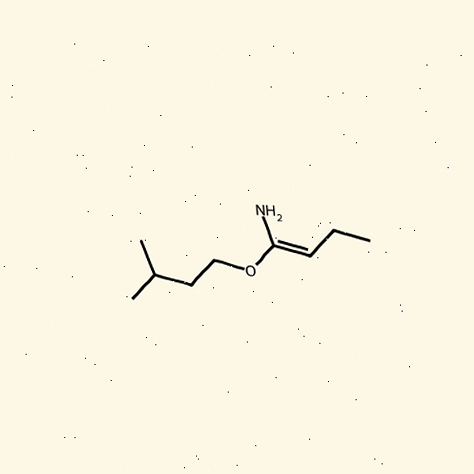 CC/C=C(\N)OCCC(C)C